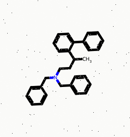 CC(CCN(Cc1ccccc1)Cc1ccccc1)c1ccccc1-c1ccccc1